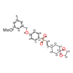 COc1cc(C)cc(COc2ccc(S(=O)(=O)/C=C/C3CCC4(CC3)OCCO4)cc2)c1